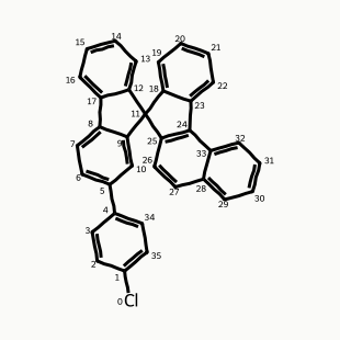 Clc1ccc(-c2ccc3c(c2)C2(c4ccccc4-3)c3ccccc3-c3c2ccc2ccccc32)cc1